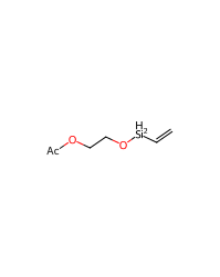 C=C[SiH2]OCCOC(C)=O